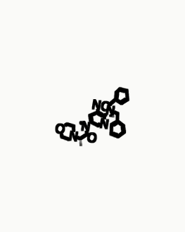 C[C@@H](C(=O)N(C)c1cnc(N(Cc2ccccc2)Cc2ccccc2)c([N+](=O)[O-])c1)N1CCOCC1